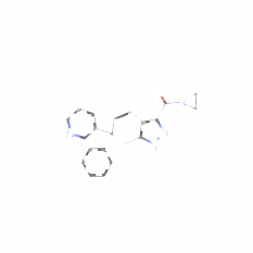 O=C(c1n[nH]c2c1C=CC(c1ccccc1)(c1cccnc1)C2)N1CC1